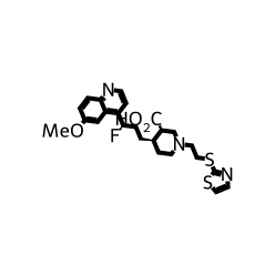 COc1ccc2nccc([C@@H](F)CC[C@@H]3CCN(CCSc4nccs4)C[C@@H]3C(=O)O)c2c1